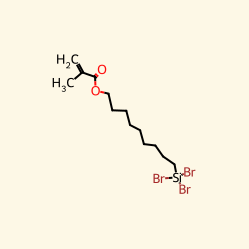 C=C(C)C(=O)OCCCCCCCCC[Si](Br)(Br)Br